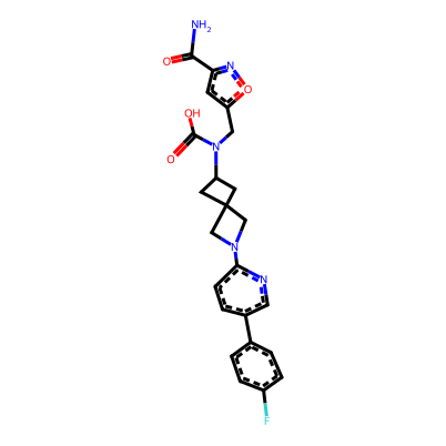 NC(=O)c1cc(CN(C(=O)O)C2CC3(C2)CN(c2ccc(-c4ccc(F)cc4)cn2)C3)on1